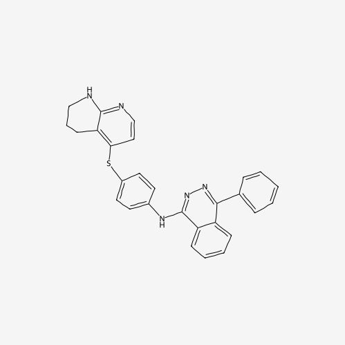 c1ccc(-c2nnc(Nc3ccc(Sc4ccnc5c4CCCN5)cc3)c3ccccc23)cc1